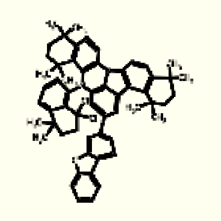 CC1(C)CCC(C)(C)c2c(N3c4cc(-c5ccc6c(c5)oc5ccccc56)cc5c4B(c4ccc6c(c4-5)C(C)(C)CCC6(C)C)c4ccc5c(c43)C(C)(C)CCC5(C)C)cccc21